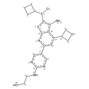 Nc1c([S+]([O-])C2CCC2)sc2nc(-c3cnc(NCCO)nc3)cc(C3COC3)c12